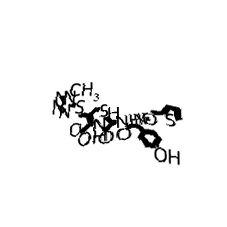 Cn1nnnc1SCC1=C(C(=O)O)N2C(=O)C(NC(=O)C(=NOCc3cccs3)c3ccc(O)cc3)[C@@H]2SC1